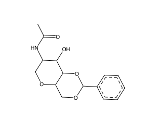 CC(=O)NC1COC2COC(c3ccccc3)OC2C1O